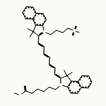 CNC(=O)CCCCCN1/C(=C/C=C/C=C/C=C/C2=[N+](CCCCS(=O)(=O)O)c3ccc4ccccc4c3C2(C)C)C(C)(C)c2c1ccc1ccccc21